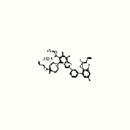 C=CCOC1(C)CCN(c2c(C(OC(C)(C)C)C(=O)O)c(C)c(C)c3nc(-c4cccc(-c5cc(F)cc(F)c5O[C@@H](C)CC=C)c4)cn23)CC1